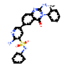 COc1ccccc1-n1c(N)nc2ccc(-c3cnc(N)c(S(=O)(=O)Nc4ccccc4)c3)cc2c1=O